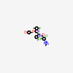 COc1ccc(COc2cc(C(CNC(=O)c3c(Cl)cc(-n4cnc(C)n4)cc3Cl)c3cccc(F)c3)nc3c(F)ccc(C)c23)cc1